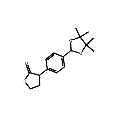 CC1(C)OB(c2ccc(C3CCOC3=O)cc2)OC1(C)C